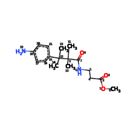 COC(=O)CCNC(=O)C(C)(C)C(C)(C)c1ccc(N)cc1